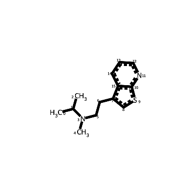 CC(C)N(C)CCc1csc2ncccc12